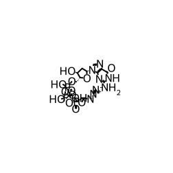 [N-]=[N+]=NCOP(=O)(O)OP(=O)(O)OP(=O)(O)OC[C@H]1O[C@@H](n2cnc3c(=O)[nH]c(N)nc32)C[C@@H]1O